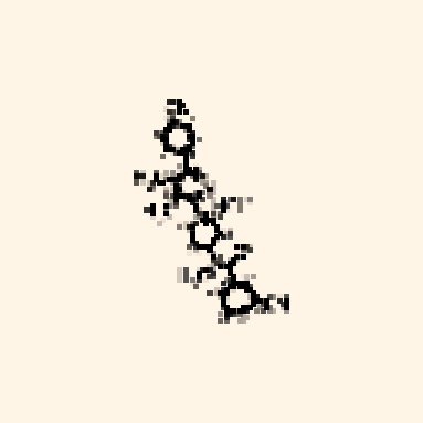 Cc1c(-c2ccc(C#N)cc2)nnc(N2CCC(N(C)C(=O)c3cccc(C#N)c3)CC2)c1C.Cl